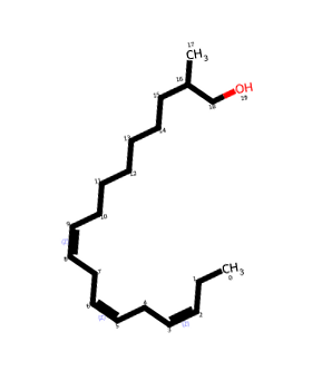 CC/C=C\C/C=C\C/C=C\CCCCCCC(C)CO